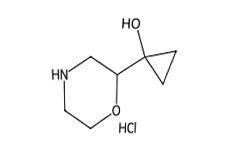 Cl.OC1(C2CNCCO2)CC1